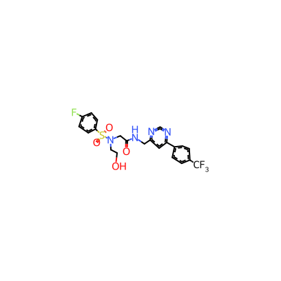 O=C(CN(CCO)S(=O)(=O)c1ccc(F)cc1)NCc1cc(-c2ccc(C(F)(F)F)cc2)ncn1